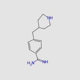 N=C(N)c1ccc(CC2CCNCC2)cc1